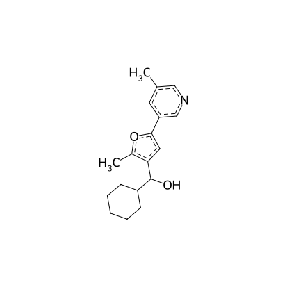 Cc1cncc(-c2cc(C(O)C3CCCCC3)c(C)o2)c1